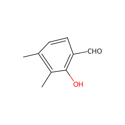 Cc1ccc(C=O)c(O)c1C